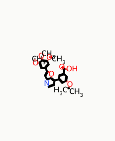 COc1cc(-c2cc3nccc(-c4cc(OC(C)C)cc(C(=O)O)c4)c3o2)cc(OC)c1OC